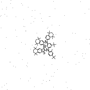 Cc1cc(C(C)(C)C)ccc1N1c2cc(C(C)(C)C)cc3c2B(c2cc4c(cc2N3c2ccc3c(c2)C(C)(C)CCC3(C)C)C(C)(C)CCC4(C)C)c2c1sc1cc3c(cc21)C(C)(C)CCC3(C)C